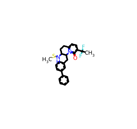 CSNC1CCc2ccc(C(C)(F)F)c(=O)n2C1Cc1cccc(-c2ccccc2)c1